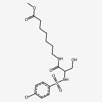 COC(=O)CCCCCCNC(=O)C(CO)NS(=O)(=O)c1ccc(Cl)cc1